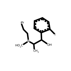 CC(C)CCN(C(=O)O)C(C)C(O)c1ccccc1I